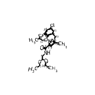 CCOC(CNC(=O)c1cc(C)n(Cc2cc(Cl)ccc2OCC(C)C)n1)OCC